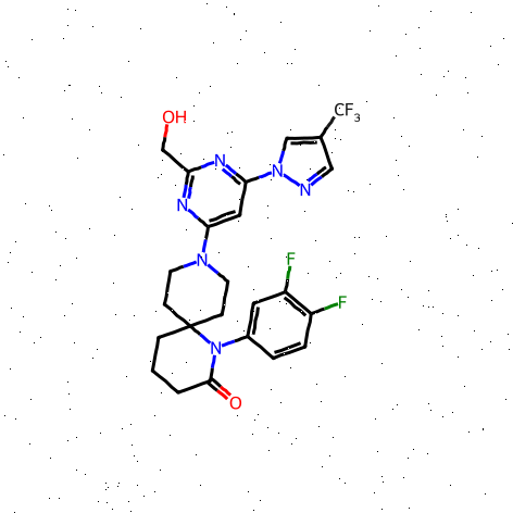 O=C1CCCC2(CCN(c3cc(-n4cc(C(F)(F)F)cn4)nc(CO)n3)CC2)N1c1ccc(F)c(F)c1